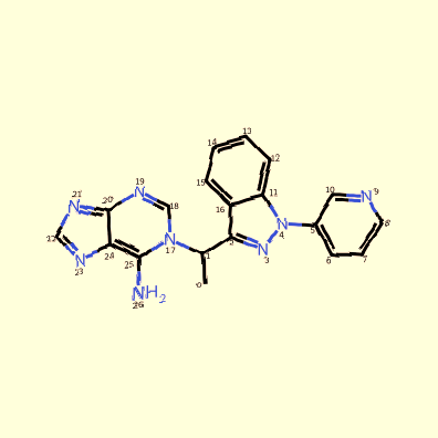 CC(c1nn(-c2cccnc2)c2ccccc12)n1cnc2ncnc-2c1N